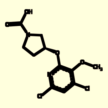 COc1c(Cl)cc(Cl)nc1O[C@H]1CCN(C(=O)O)C1